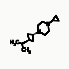 CC(C)[C@H]1C[C@H](N2CCN(C3CC3)CC2)C1